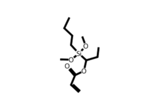 C=CC(=O)OC(CC)[Si](CCCC)(OC)OC